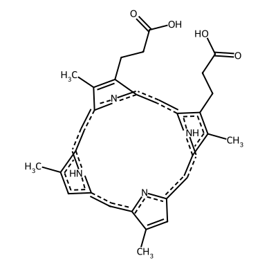 CC1=Cc2cc3[nH]c(cc4nc(cc5[nH]c(cc1n2)cc5C)C(C)=C4CCC(=O)O)c(CCC(=O)O)c3C